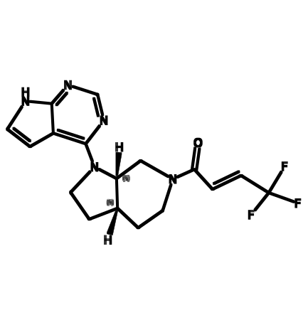 O=C(C=CC(F)(F)F)N1CC[C@@H]2CCN(c3ncnc4[nH]ccc34)[C@@H]2C1